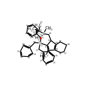 CC1=[C]([Ti]([CH2]c2ccccc2)([CH2]c2ccccc2)[CH2]c2ccccc2)C(C[Si](C)(C)C(C)(C)C)C2=C1CCCC2